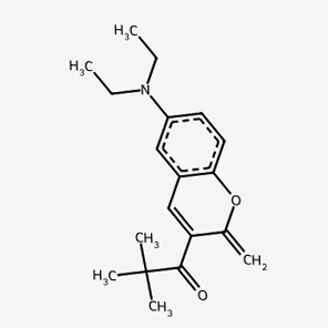 C=C1Oc2ccc(N(CC)CC)cc2C=C1C(=O)C(C)(C)C